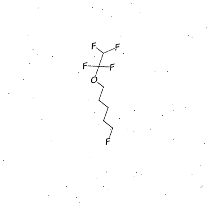 FCCCCCOC(F)(F)C(F)F